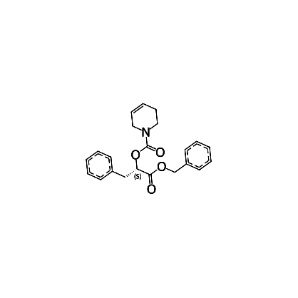 O=C(OCc1ccccc1)[C@H](Cc1ccccc1)OC(=O)N1CC=CCC1